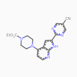 CCOC(=O)N1CCN(c2ccnc3[nH]c(-c4ncc(C#N)cn4)cc23)CC1